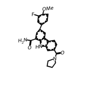 COc1ccc(-c2cc(C(N)=O)c3[nH]c4cc(C(=O)N5CCCC5)ccc4c3c2)cc1F